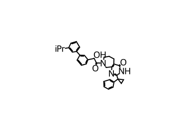 CC(C)c1cccc(-c2cccc([C@@H](O)C(=O)N3CCCc4c(nc(C5(c6ccccc6)CC5)[nH]c4=O)C3)c2)c1